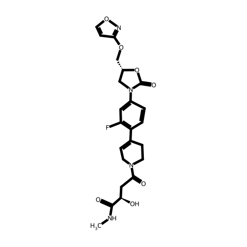 CNC(=O)[C@H](O)CC(=O)N1CC=C(c2ccc(N3C[C@H](COc4ccon4)OC3=O)cc2F)CC1